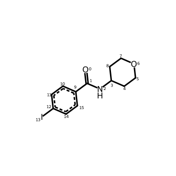 O=C(NC1CCOCC1)c1ccc(I)cc1